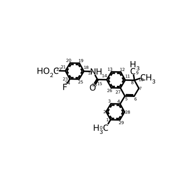 Cc1ccc(C2=CCC(C)(C)c3ccc(C(=O)Nc4ccc(C(=O)O)c(F)c4)cc32)cc1